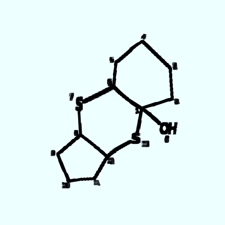 OC12CCCCC1SC1CCCC1S2